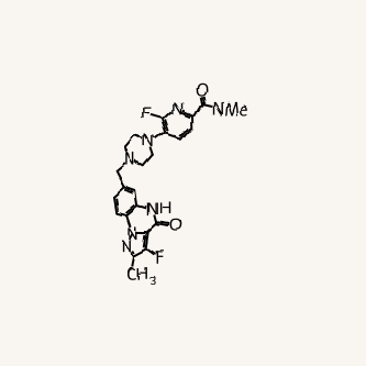 CNC(=O)c1ccc(N2CCN(Cc3ccc4c(c3)[nH]c(=O)c3c(F)c(C)nn34)CC2)c(F)n1